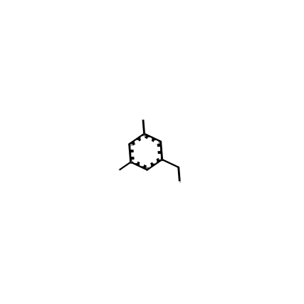 CCOC(=O)Cc1cc(C)[c]c(C)c1